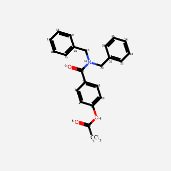 O=C(c1ccc(OC(=O)C(Cl)(Cl)Cl)cc1)N(Cc1ccccc1)Cc1ccccc1